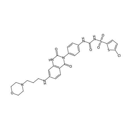 O=C(Nc1ccc(-n2c(=O)[nH]c3cc(NCCCN4CCOCC4)ccc3c2=O)cc1)NS(=O)(=O)c1ccc(Cl)s1